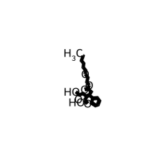 CCCCCCOCCOC(=O)CC(=C(CC(=O)O)C(=O)O)c1ccccc1